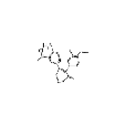 C=Cc1ccc(C2=C(c3ccc(N)c(N(C)Cl)c3)C=CCC2=C)cc1C